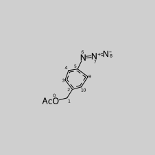 CC(=O)OCc1ccc(N=[N+]=[N-])cc1